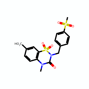 CN1C(=O)N(Cc2ccc(S(C)(=O)=O)cc2)S(=O)(=O)c2cc(C(=O)O)ccc21